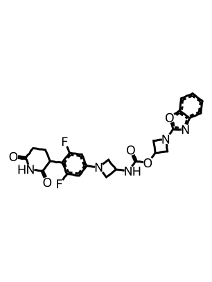 O=C1CCC(c2c(F)cc(N3CC(NC(=O)OC4CN(c5nc6ccccc6o5)C4)C3)cc2F)C(=O)N1